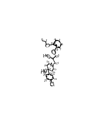 CCOc1ccccc1OCC(O)CN1CCC(O)(c2ccc(Cl)cc2)CC1